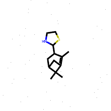 CC1=C2CC(CC1C1NCCS1)C2(C)C